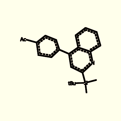 CC(=O)c1ccc(-c2cc([Si](C)(C)C(C)(C)C)nc3ccccc23)cc1